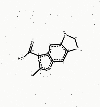 Cc1oc2cc3c(cc2c1C(=O)O)OCO3